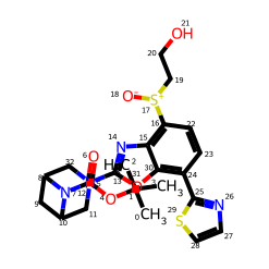 CC(C)(C)OC(=O)N1C2CC1CN(c1nc3c([S+]([O-])CCO)ccc(-c4nccs4)c3o1)C2